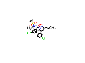 C=CC[C@H]1C[C@H](c2cccc(Cl)c2)[C@@H](c2ccc(Cl)cc2)[N+]([O-])([C@@H](CN(C)S(=O)(=O)C2CC2)C2CC2)C1